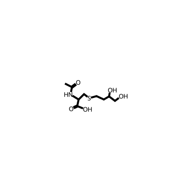 CC(=O)NC(CSCCC(O)CO)C(=O)O